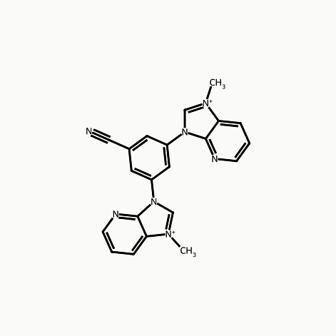 C[n+]1cn(-c2cc(C#N)cc(-n3c[n+](C)c4cccnc43)c2)c2ncccc21